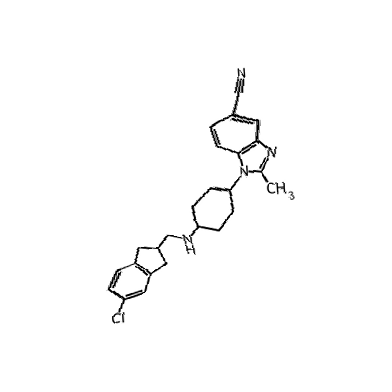 Cc1nc2cc(C#N)ccc2n1C1CCC(NCC2Cc3ccc(Cl)cc3C2)CC1